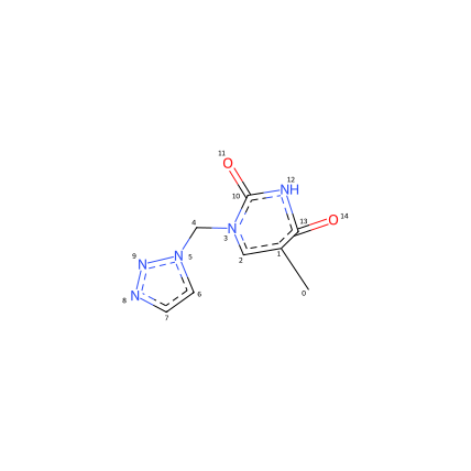 Cc1cn(Cn2ccnn2)c(=O)[nH]c1=O